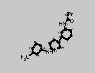 CC(C)C(=O)Nc1cccc(-c2ccc(Nc3cccc(C(F)(F)F)c3)nc2)c1